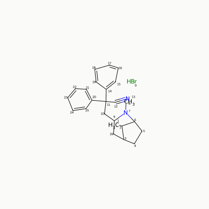 Br.CC1C2CCC1N(C)C(CC(C#N)(c1ccccc1)c1ccccc1)C2